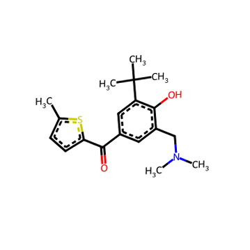 Cc1ccc(C(=O)c2cc(CN(C)C)c(O)c(C(C)(C)C)c2)s1